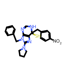 O=[N+]([O-])c1ccc(CC2(S)NC=Nc3c2nc(N2CCCC2)n3Cc2ccccc2)cc1